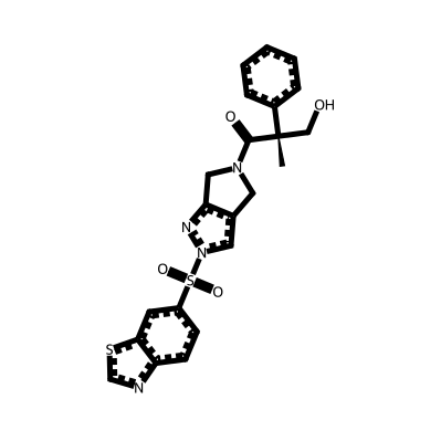 C[C@@](CO)(C(=O)N1Cc2cn(S(=O)(=O)c3ccc4ncsc4c3)nc2C1)c1ccccc1